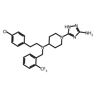 Nc1n[nH]c(N2CCC(N(CCc3ccc(Cl)cc3)Cc3ccccc3C(F)(F)F)CC2)n1